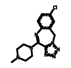 CN1CCN(C2=Nc3ccc(Cl)cc3Cn3nnnc32)CC1